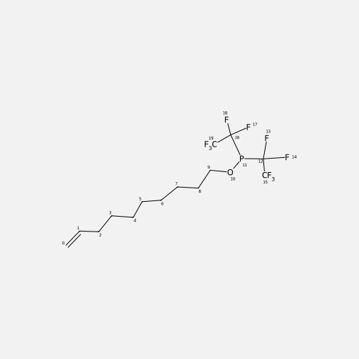 C=CCCCCCCCCOP(C(F)(F)C(F)(F)F)C(F)(F)C(F)(F)F